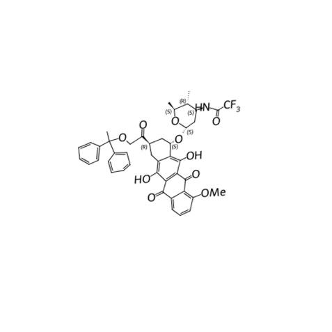 COc1cccc2c1C(=O)c1c(O)c3c(c(O)c1C2=O)C[C@@H](C(=O)COC(C)(c1ccccc1)c1ccccc1)C[C@@H]3O[C@H]1C[C@H](NC(=O)C(F)(F)F)[C@@H](C)[C@H](C)O1